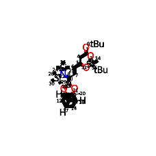 CC(C)(C)OC(=O)C[C@H](CC[C@@H](B1O[C@@H]2C[C@@H]3C[C@@H](C3(C)C)[C@]2(C)O1)N([Si](C)(C)C)[Si](C)(C)C)O[Si](C)(C)C(C)(C)C